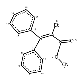 CCC(C(=O)OC#N)=C(c1ccccc1)c1ccccc1